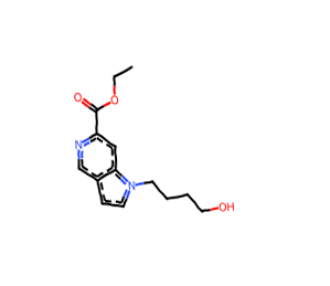 CCOC(=O)c1cc2c(ccn2CCCCO)cn1